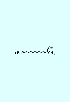 CCCC/C=C/CCCCCCCC/C=C/C(C)CO